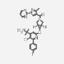 Cc1nn(-c2ncccn2)cc1C(=O)N1C[C@@H]2C(Oc3cc(C(C)(C)N)c(Cl)c(-c4ccc(F)cc4)n3)[C@@H]2C1